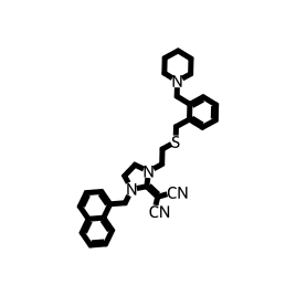 N#CC(C#N)=C1N(CCSCc2ccccc2CN2CCCCC2)CCN1Cc1cccc2ccccc12